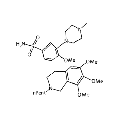 CCCCCN1CCc2cc(OC)c(OC)c(OC)c2C1.COc1ccc(S(N)(=O)=O)cc1N1CCN(C)CC1